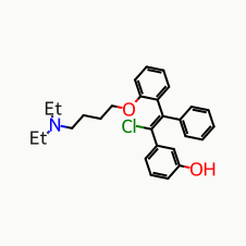 CCN(CC)CCCCOc1ccccc1/C(=C(\Cl)c1cccc(O)c1)c1ccccc1